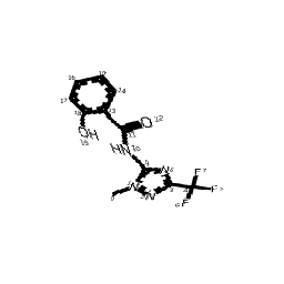 Cn1nc(C(F)(F)F)nc1NC(=O)c1ccccc1O